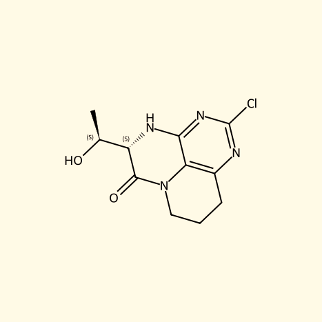 C[C@H](O)[C@@H]1Nc2nc(Cl)nc3c2N(CCC3)C1=O